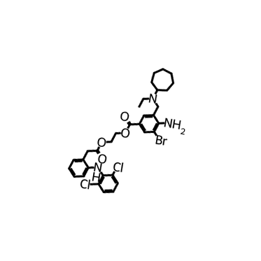 CCN(Cc1cc(C(=O)OCCOC(=O)Cc2ccccc2Nc2c(Cl)cccc2Cl)cc(Br)c1N)C1CCCCCC1